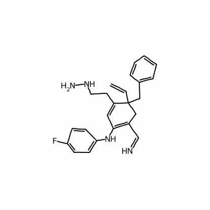 C=CC1(Cc2ccccc2)CC(C=N)=C(Nc2ccc(F)cc2)C=C1CCNN